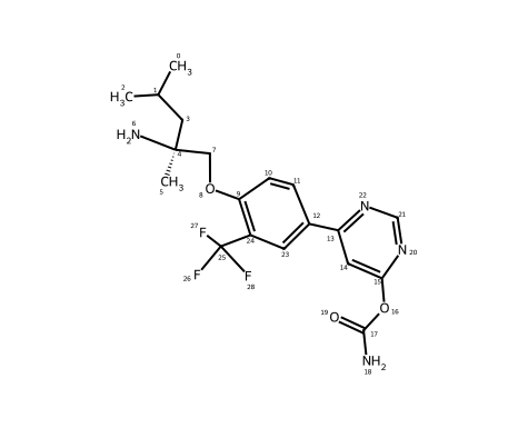 CC(C)C[C@](C)(N)COc1ccc(-c2cc(OC(N)=O)ncn2)cc1C(F)(F)F